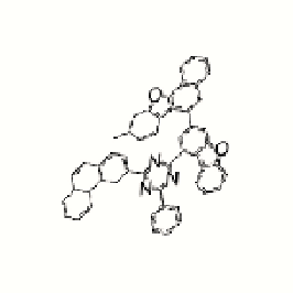 CC1C=Cc2c(oc3c2c(-c2cc(-c4nc(C5=CC=C6C=CC7C=CC=CC7C6C5)nc(-c5ccccc5)n4)c4c(c2)oc2ccccc24)cc2ccccc23)C1